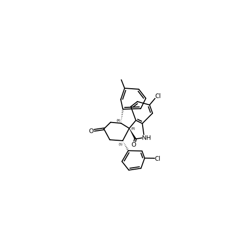 Cc1cccc([C@H]2CC(=O)C[C@@H](c3cccc(Cl)c3)[C@]23C(=O)Nc2cc(Cl)ccc23)c1